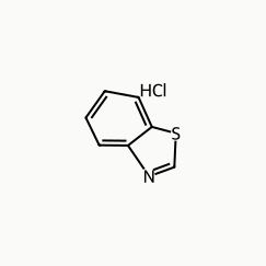 Cl.c1ccc2scnc2c1